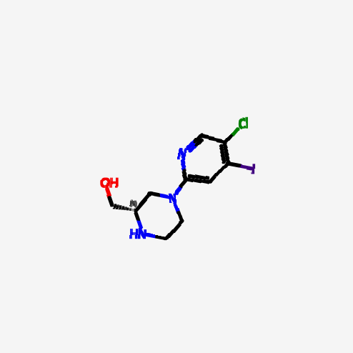 OC[C@@H]1CN(c2cc(I)c(Cl)cn2)CCN1